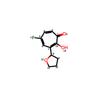 O=c1ccc(F)cc(C2CCCO2)c1O